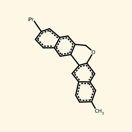 Cc1ccc2cc3c(cc2c1)OCc1cc2cc(C(C)C)ccc2cc1-3